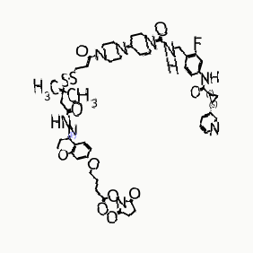 CC(C)(CC(=O)N/N=C1\CCOc2cc(OCCCC(=O)ON3C(=O)CCC3=O)ccc21)SSCCC(=O)N1CCN(C2CCN(C(=O)NCc3ccc(NC(=O)[C@H]4C[C@@H]4c4cccnc4)cc3F)CC2)CC1